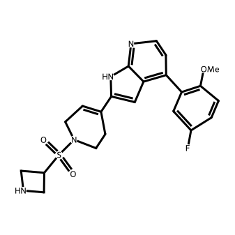 COc1ccc(F)cc1-c1ccnc2[nH]c(C3=CCN(S(=O)(=O)C4CNC4)CC3)cc12